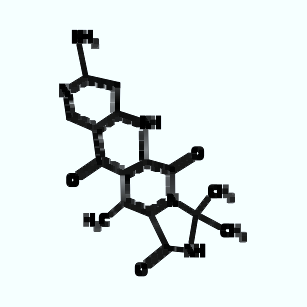 Cc1c2n(c(=O)c3[nH]c4cc(N)ncc4c(=O)c13)C(C)(C)NC2=O